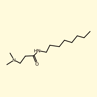 CCCCCCCCNC(=O)CCN(C)C